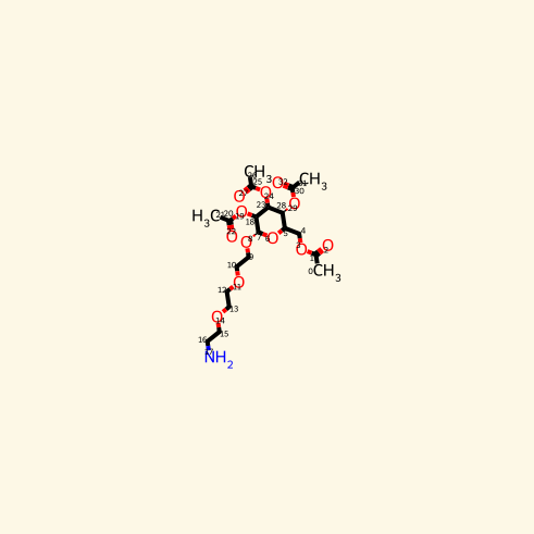 CC(=O)OCC1O[C@H](OCCOCCOCCN)C(OC(C)=O)C(OC(C)=O)[C@@H]1OC(C)=O